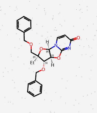 CC[C@]1(COCc2ccccc2)O[C@@H]2[C@@H](Oc3nc(=O)ccn32)[C@@H]1OCc1ccccc1